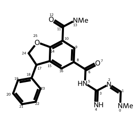 CN/C=N\C(=N)NC(=O)c1cc(C(=O)NC)c2c(c1)C(c1ccccc1)CO2